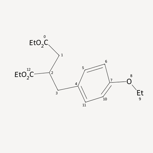 CCOC(=O)CC(Cc1ccc(OCC)cc1)C(=O)OCC